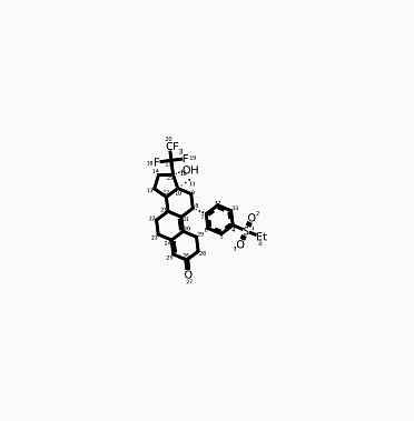 CCS(=O)(=O)c1ccc([C@H]2C[C@@]3(C)C(CC[C@@]3(O)C(F)(F)C(F)(F)F)C3CCC4=CC(=O)CCC4=C32)cc1